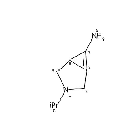 CC(C)N1CC2=C(N)C2C1